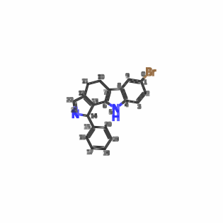 Brc1ccc2[nH]c3c(c2c1)CCC1=C3C(c2ccccc2)N=C1